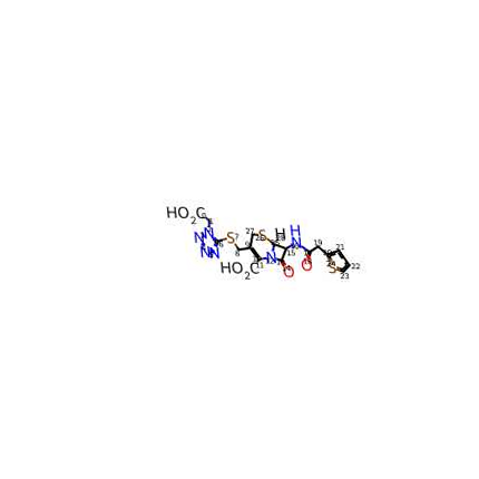 O=C(O)Cn1nnnc1SCC1=C(C(=O)O)N2C(=O)C(NC(=O)Cc3cccs3)[C@@H]2SC1